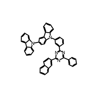 c1ccc(-c2nc(-c3cccc(-n4c5ccccc5c5cc(-n6c7ccccc7c7ccccc76)ccc54)c3)nc(-c3ccc4ccccc4c3)n2)cc1